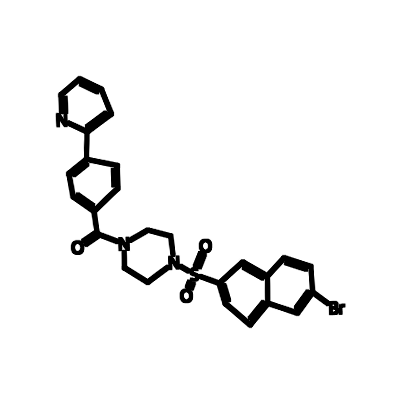 O=C(c1ccc(-c2ccccn2)cc1)N1CCN(S(=O)(=O)c2ccc3cc(Br)ccc3c2)CC1